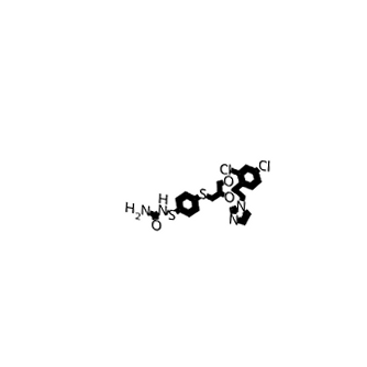 NC(=O)NSc1ccc(SCC2COC(Cn3ccnc3)(c3ccc(Cl)cc3Cl)O2)cc1